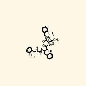 Cc1ccccc1CNC(=O)NC(Cc1ccccc1)C(O)C(=O)N1CSC(C)(C)C1C(=O)NCc1ccccc1C